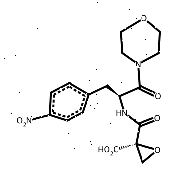 O=C([C@H](Cc1ccc([N+](=O)[O-])cc1)NC(=O)[C@]1(C(=O)O)CO1)N1CCOCC1